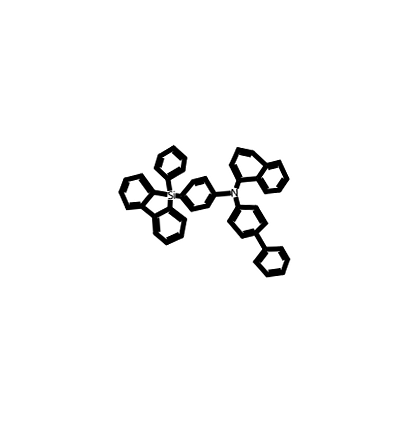 c1ccc(-c2ccc(N(c3ccc([Si]4(c5ccccc5)c5ccccc5-c5ccccc54)cc3)c3cccc4ccccc34)cc2)cc1